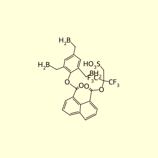 BCc1cc(CB)c(OC(=O)c2cccc3cccc(C(=O)OC(CS(=O)(=O)O)(C(F)(F)F)C(F)(F)F)c23)c(CB)c1